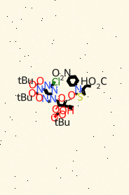 C#C[C@@]1(O)[C@@H](COC2SC=C(C(C)C(=O)O)N2c2ccc([N+](=O)[O-])cc2)O[C@@H](n2cnc3c(N(C(=O)OC(C)(C)C)C(=O)OC(C)(C)C)nc(Cl)nc32)[C@@H]1OC(=O)OC(C)(C)C